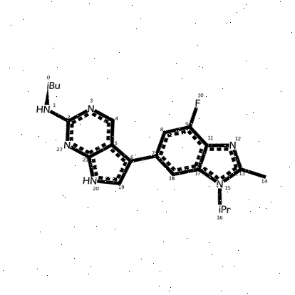 CC[C@H](C)Nc1ncc2c(-c3cc(F)c4nc(C)n(C(C)C)c4c3)c[nH]c2n1